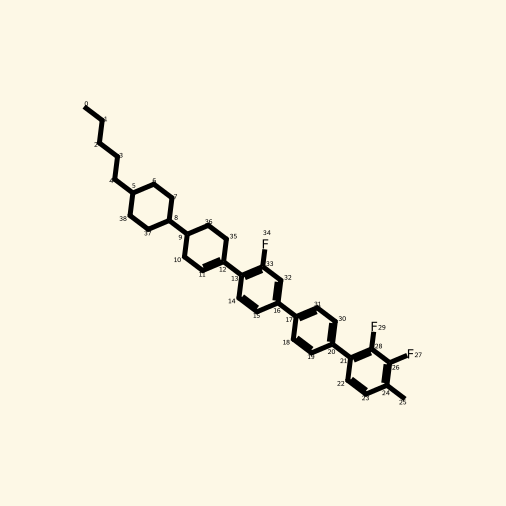 CCCCCC1CCC(C2CC=C(c3ccc(-c4ccc(-c5ccc(C)c(F)c5F)cc4)cc3F)CC2)CC1